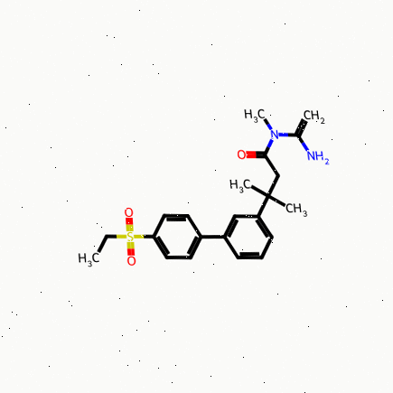 C=C(N)N(C)C(=O)CC(C)(C)c1cccc(-c2ccc(S(=O)(=O)CC)cc2)c1